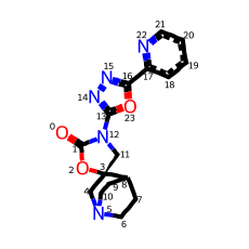 O=C1O[C@]2(CN3CCC2CC3)CN1c1nnc(-c2ccccn2)o1